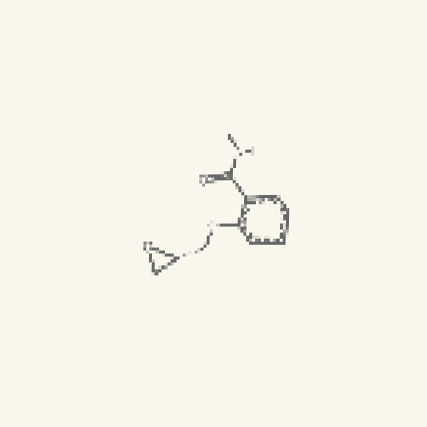 CNC(=O)c1ccccc1OC[C@@H]1CO1